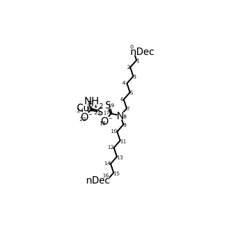 CCCCCCCCCCCCCCCCCN(CCCCCCCCCCCCCCCCC)C([O-])=S.NC([O-])=S.[Cu+2]